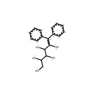 OCC(O)C(O)C(O)C(O)=C(c1ccccc1)c1ccccc1